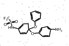 Nc1ccc(OC2(Oc3ccccc3)C=CC(NS(=O)(=O)C(F)(F)F)=CC2)cc1